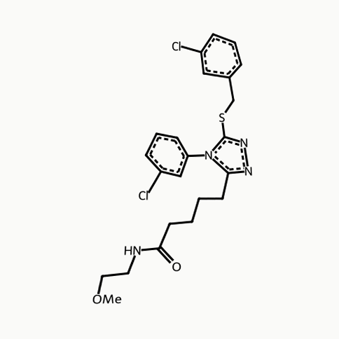 COCCNC(=O)CCCCc1nnc(SCc2cccc(Cl)c2)n1-c1cccc(Cl)c1